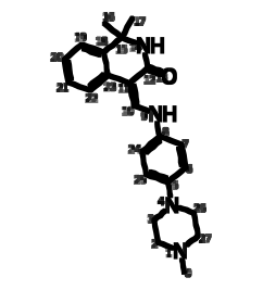 CN1CCN(c2ccc(NC=C3C(=O)NC(C)(C)c4ccccc43)cc2)CC1